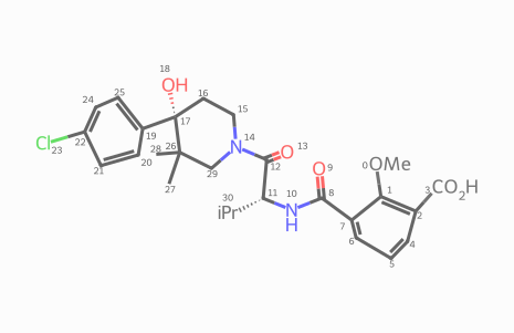 COc1c(C(=O)O)cccc1C(=O)N[C@@H](C(=O)N1CC[C@](O)(c2ccc(Cl)cc2)C(C)(C)C1)C(C)C